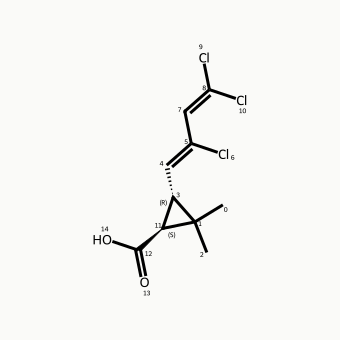 CC1(C)[C@@H](C=C(Cl)C=C(Cl)Cl)[C@@H]1C(=O)O